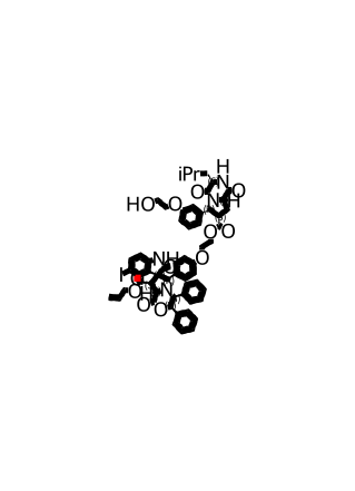 C=CCOC(=O)[C@@H]1[C@H]2C(=O)O[C@H](c3ccccc3)[C@H](c3ccccc3)N2[C@H](c2ccc(OCCOC(=O)[C@H]3C[C@H]4C(=O)N[C@@H](CC(C)C)C(=O)N4[C@H]3c3cccc(OCCO)c3)cc2)[C@@]12C(=O)Nc1ccc(I)cc12